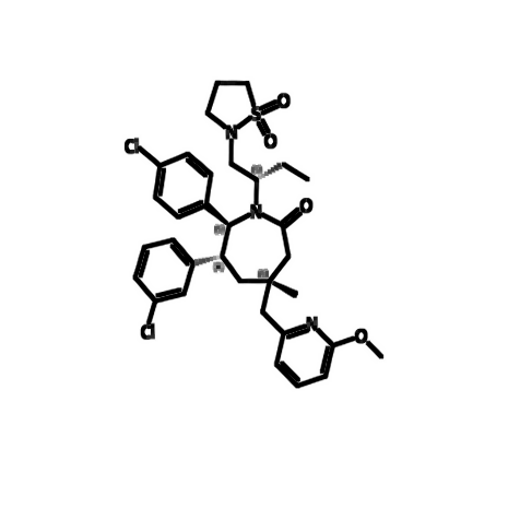 CC[C@@H](CN1CCCS1(=O)=O)N1C(=O)C[C@](C)(Cc2cccc(OC)n2)C[C@H](c2cccc(Cl)c2)[C@H]1c1ccc(Cl)cc1